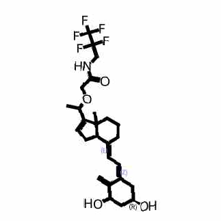 C=C1/C(=C\C=C2/CCCC3(C)C(C(C)OCC(=O)NCC(F)(F)C(F)(F)F)=CCC23)C[C@@H](O)CC1O